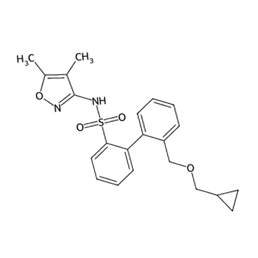 Cc1onc(NS(=O)(=O)c2ccccc2-c2ccccc2COCC2CC2)c1C